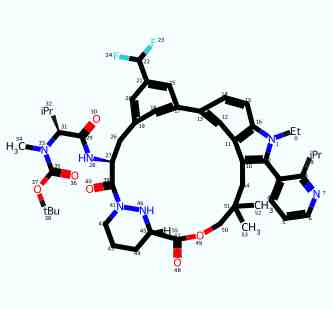 CCn1c(-c2cccnc2C(C)C)c2c3cc(ccc31)-c1cc(cc(C(F)F)c1)C[C@H](NC(=O)[C@H](C(C)C)N(C)C(=O)OC(C)(C)C)C(=O)N1CCC[C@H](N1)C(=O)OCC(C)(C)C2